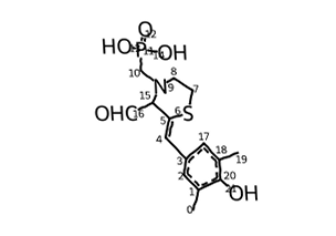 Cc1cc(C=C2SCCN(CP(=O)(O)O)C2C=O)cc(C)c1O